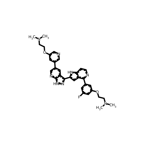 CN(C)CCOc1cncc(-c2cnc3[nH]nc(-c4cc5c(-c6cc(F)cc(OCCN(C)C)c6)nccc5[nH]4)c3c2)c1